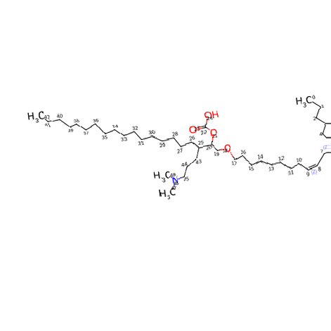 CCCCC/C=C\C/C=C\CCCCCCCCOCC(OC(=O)O)C(CCCCCCCCCCCCCCCCC)CCCN(C)C